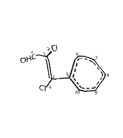 O=[C]C(Cl)=C(Cl)c1ccccc1